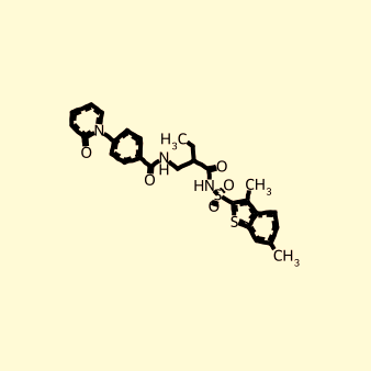 CCC(CNC(=O)c1ccc(-n2ccccc2=O)cc1)C(=O)NS(=O)(=O)c1sc2cc(C)ccc2c1C